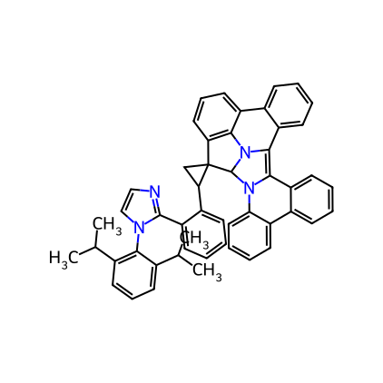 CC(C)c1cccc(C(C)C)c1-n1ccnc1-c1ccccc1C1CC12c1cccc3c1N1C(=C4c5ccccc5-c5ccccc5N4C12)c1ccccc1-3